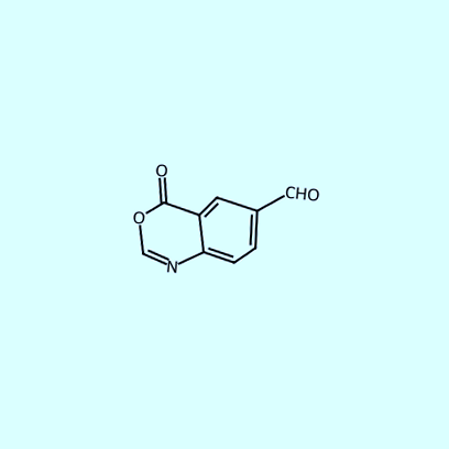 O=Cc1ccc2ncoc(=O)c2c1